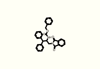 O=C(NC(CN1C(=O)c2ccccc2C1=O)C(c1ccccc1)c1ccccc1)OCc1ccccc1